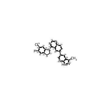 Cc1n[nH]c2ncc(-c3ccc4ncnc(N5CCc6cc(F)c(Cl)cc65)c4c3)cc12